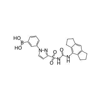 O=C(Nc1c2c(cc3c1CCC3)CCC2)NS(=O)(=O)c1ccn(-c2cccc(B(O)O)c2)n1